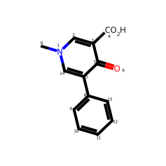 Cn1cc(C(=O)O)c(=O)c(-c2ccccc2)c1